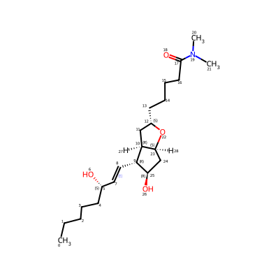 CCCCC[C@H](O)/C=C/[C@@H]1[C@H]2C[C@H](CCCCC(=O)N(C)C)O[C@H]2C[C@H]1O